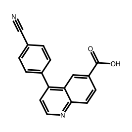 N#Cc1ccc(-c2ccnc3ccc(C(=O)O)cc23)cc1